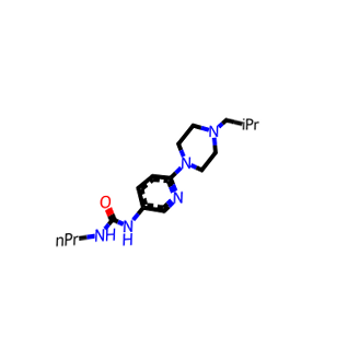 CCCNC(=O)Nc1ccc(N2CCN(CC(C)C)CC2)nc1